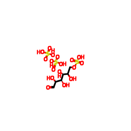 O=C[C@@H](O)[C@@H](O)[C@H](O)[C@H](O)COS(=O)(=O)O.O=S(=O)(O)O.O=S(=O)(O)O